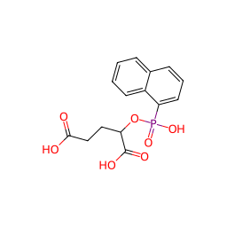 O=C(O)CCC(OP(=O)(O)c1cccc2ccccc12)C(=O)O